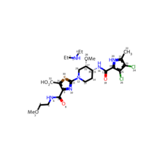 CCNCC.COCCNC(=O)c1nc(N2CC[C@@H](NC(=O)c3[nH]c(C)c(Cl)c3Cl)[C@@H](OC)C2)sc1C(=O)O